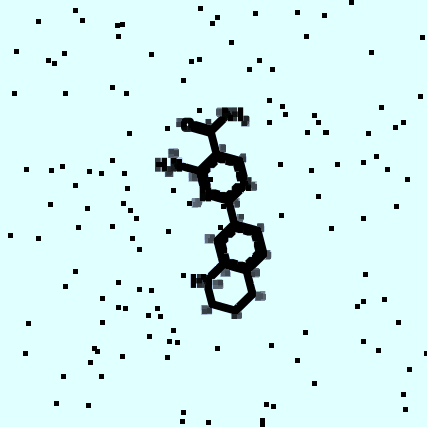 NC(=O)c1cnc(-c2ccc3c(c2)NCCC3)nc1N